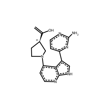 C=C(O)[C@@H]1CCN(c2ccnc3[nH]cc(-c4ccnc(N)n4)c23)C1